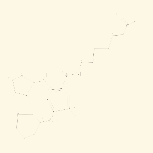 O=C(O)CCCCCCNC(=O)c1cc(F)c(NC2CCCCC2)cc1NC1CCCC1